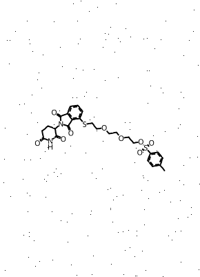 Cc1ccc(S(=O)(=O)OCCOCCOCCSc2cccc3c2C(=O)N(C2CCC(=O)NC2=O)C3=O)cc1